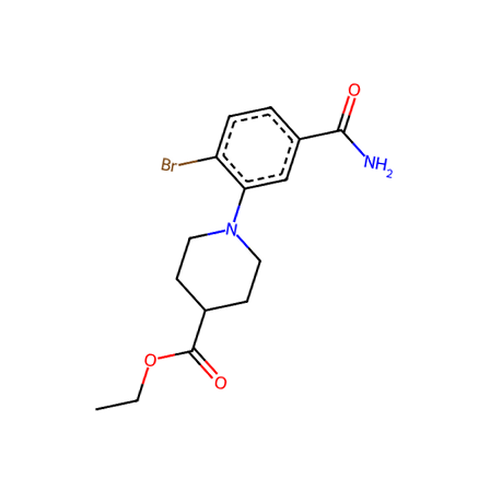 CCOC(=O)C1CCN(c2cc(C(N)=O)ccc2Br)CC1